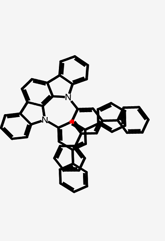 c1ccc(-c2cc(-c3ccccc3)cc(-n3c4ccccc4c4ccc5c6ccccc6n(-c6cc(-c7ccccc7)cc(-c7ccccc7)c6)c5c43)c2)cc1